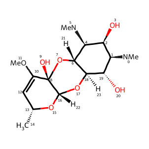 CN[C@@H]1[C@H](O)[C@H](NC)[C@H]2O[C@@]3(O)C(OC)=C[C@@H](C)O[C@H]3O[C@@H]2[C@H]1O